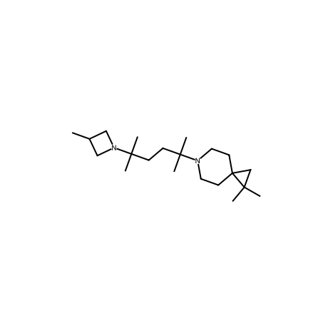 CC1CN(C(C)(C)CCC(C)(C)N2CCC3(CC2)CC3(C)C)C1